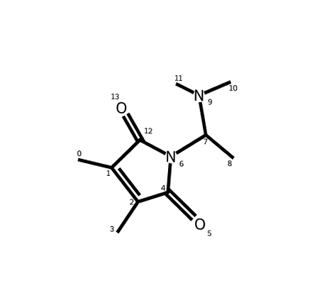 CC1=C(C)C(=O)N(C(C)N(C)C)C1=O